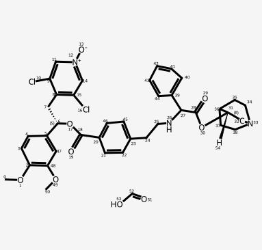 COc1ccc([C@H](Cc2c(Cl)c[n+]([O-])cc2Cl)OC(=O)c2ccc(CCNC(C(=O)O[C@H]3CN4CCC3CC4)c3ccccc3)cc2)cc1OC.O=CO